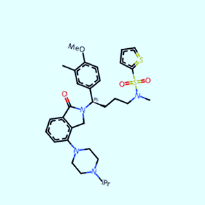 COc1ccc([C@@H](CCCN(C)S(=O)(=O)c2cccs2)N2Cc3c(cccc3N3CCN(C(C)C)CC3)C2=O)cc1C